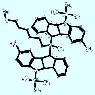 Cc1ccc2c(c1)C1C(C3C=CC=CC3C1[Si](C)(CCCCCCOC(C)(C)C)C1C3C=CC=CC3C3C1c1cc(C)ccc1N3[Si](C)(C)C)N2[Si](C)(C)C